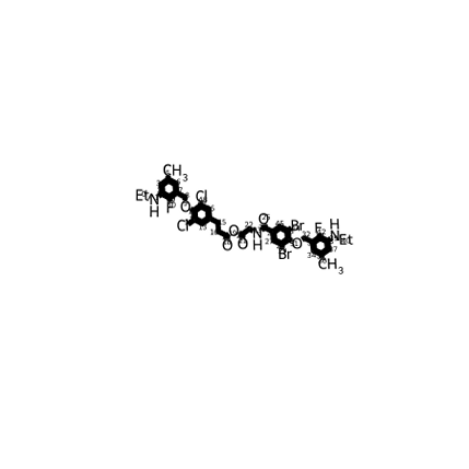 CCNc1cc(C)cc(COc2c(Cl)cc(CCC(=O)OC(=O)CNC(=O)c3cc(Br)c(OCc4cc(C)cc(NCC)c4F)c(Br)c3)cc2Cl)c1F